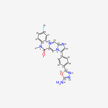 CN(C(=O)c1cn2c(-c3ccc(-c4nnc(N)o4)cc3)cnc2cn1)c1ccc(F)cc1